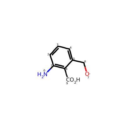 Nc1cccc(C[O])c1C(=O)O